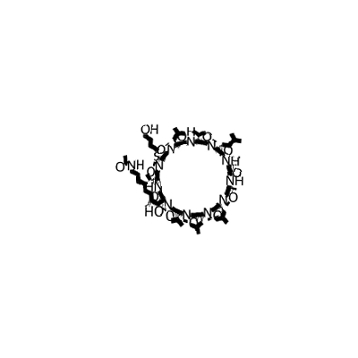 CC[C@H]1NC(=O)[C@H]([C@H](O)[C@H](C)CCCCCCNC(C)=O)N(C)C(=O)[C@@H](C(C)C)N(C)C(=O)[C@@H](CC(C)C)N(C)C(=O)[C@H](CC(C)C)N(C)C(=O)[C@H](C)NC(=O)[C@@H](C)NC(=O)[C@@H](CCC(C)C)N(C)C(=O)[C@@H](C(C)C)NC(=O)[C@H](CC(C)C)N(C)C(=O)[C@@H](SCCCCO)N(C)C1=O